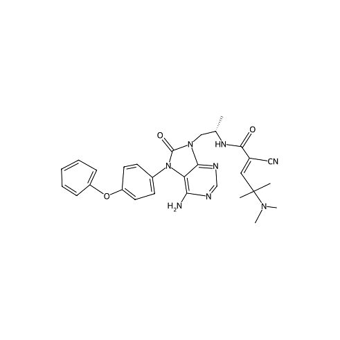 C[C@@H](Cn1c(=O)n(-c2ccc(Oc3ccccc3)cc2)c2c(N)ncnc21)NC(=O)C(C#N)=CC(C)(C)N(C)C